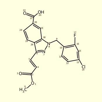 COC(=O)C=Cc1nn(Cc2ccc(Cl)cc2F)c2cc(C(=O)O)ccc12